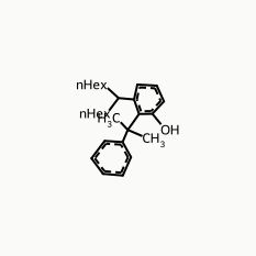 CCCCCCC(CCCCCC)c1cccc(O)c1C(C)(C)c1ccccc1